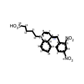 O=[N+]([O-])c1ccc(/C=C2/C=CN(CCCCS(=O)(=O)O)c3ccccc32)c([N+](=O)[O-])c1